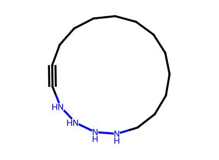 C1#CNNNNCCCCCCCCCCC1